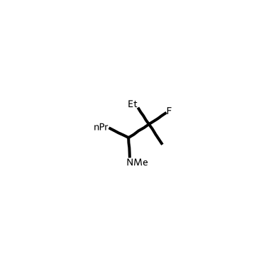 CCCC(NC)C(C)(F)CC